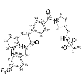 C=CS(=O)(=O)NC[C@@H]1CCN(C(=O)c2ccc(C(CC3CCCNC3)C(=O)NCc3ccc(C(F)(F)F)cc3)cc2)C1